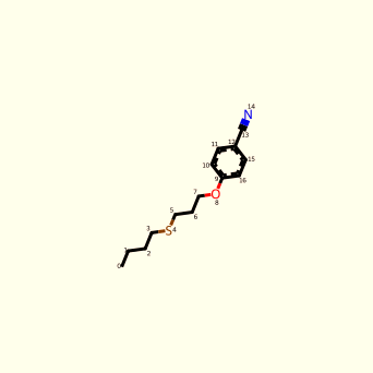 CCCCSCCCOc1ccc(C#N)cc1